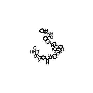 Cn1nc(C2CCC(=O)NC2=O)c2ccc(NC(=O)CN3CCC4(CC3)CC(Oc3cccc(-c5ccc(N6CCc7cccc(C(=O)Nc8nc9ccccc9s8)c7C6)nc5C(=O)O)c3C(F)(F)F)C4)cc21